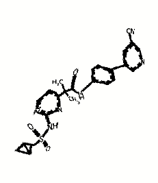 CC(C)(C(=O)Nc1ccc(-c2cncc(C#N)c2)cc1)c1ccnc(NS(=O)(=O)C2C3CC32)n1